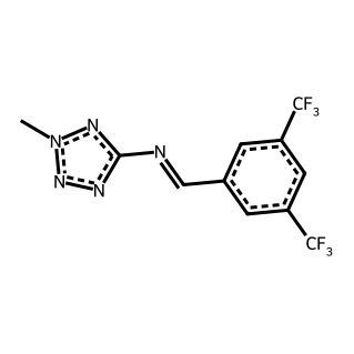 Cn1nnc(/N=C/c2cc(C(F)(F)F)cc(C(F)(F)F)c2)n1